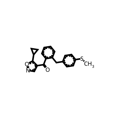 CSc1ccc(Cc2ccccc2C(=O)c2cnoc2C2CC2)cc1